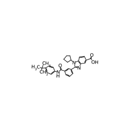 CC(C)(C)c1ccc(NC(=O)c2cccc(-c3nc4cc(C(=O)O)ccc4n3C3CCCC3)c2)cc1